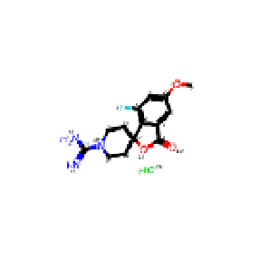 COc1cc(F)c2c(c1)C(=O)OC21CCN(C(=N)N)CC1.Cl